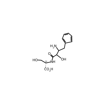 NC(Cc1ccccc1)C(O)C(=O)N[C@@H](CO)C(=O)O